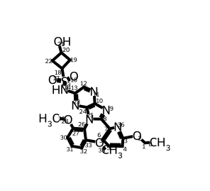 CCOc1cccc(-c2nc3ncc(NS(=O)(=O)C4CC(O)C4)nc3n2-c2c(OC)cccc2OC)n1